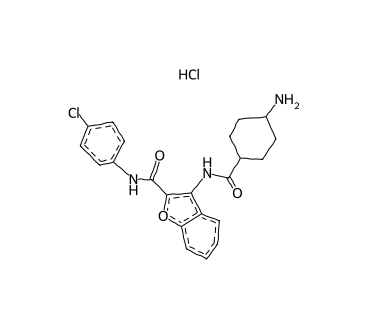 Cl.NC1CCC(C(=O)Nc2c(C(=O)Nc3ccc(Cl)cc3)oc3ccccc23)CC1